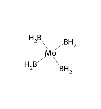 [BH2][Mo]([BH2])([BH2])[BH2]